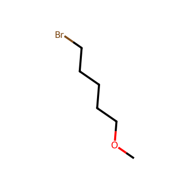 COCCCCCBr